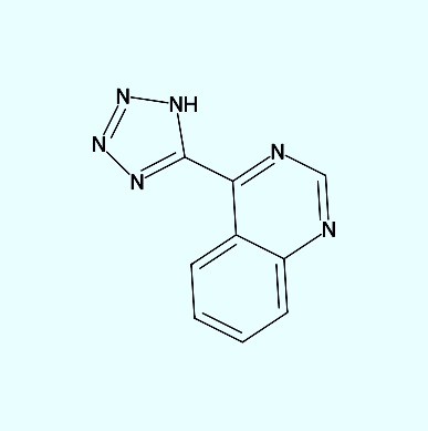 c1ccc2c(-c3nnn[nH]3)ncnc2c1